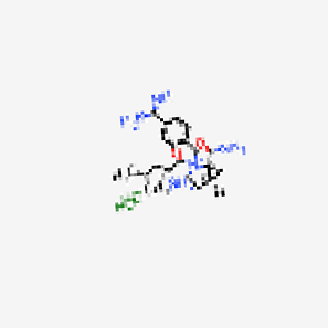 CC(C)C[C@@H](N)C(=O)[N+]1(Cc2ccc(C(=N)N)cc2)CC[C@@H]2C[C@@]21C(N)=O.Cl.Cl